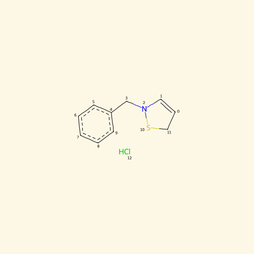 C1=CN(Cc2ccccc2)SC1.Cl